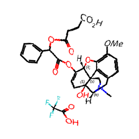 COc1ccc2c3c1O[C@H]1C(OC(=O)C(OC(=O)CCC(=O)O)c4ccccc4)=CC[C@@]4(O)[C@@H](C2)N(C)CC[C@]314.O=C(O)C(F)(F)F